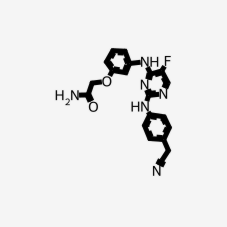 N#CCc1ccc(Nc2ncc(F)c(Nc3cccc(OCC(N)=O)c3)n2)cc1